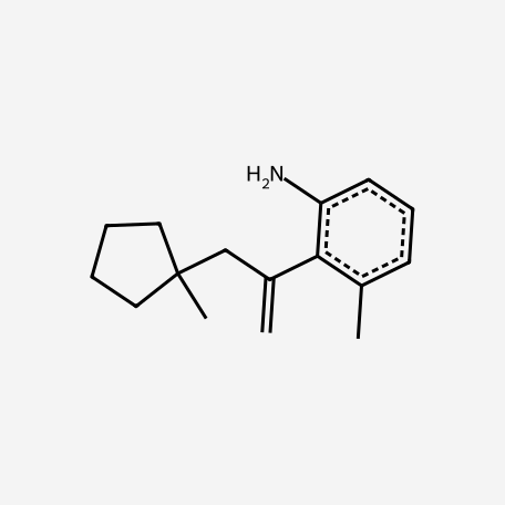 C=C(CC1(C)CCCC1)c1c(C)cccc1N